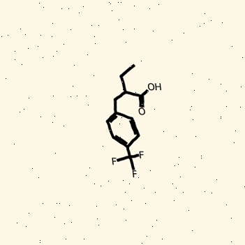 CCC(Cc1ccc(C(F)(F)F)cc1)C(=O)O